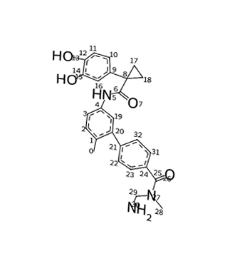 Cc1ccc(NC(=O)C2(c3ccc(O)c(O)c3)CC2)cc1-c1ccc(C(=O)N(C)CN)cc1